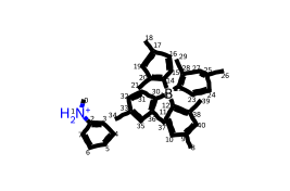 C[NH2+]c1ccccc1.Cc1ccc([B-](c2ccc(C)cc2C)(c2ccc(C)cc2C)c2ccc(C)cc2C)c(C)c1